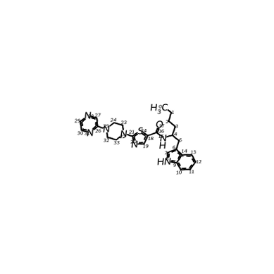 CCCCC(Cc1c[nH]c2ccccc12)NC(=O)c1cnc(N2CCN(c3cnccn3)CC2)s1